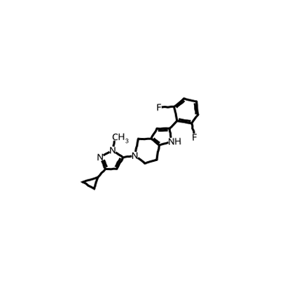 Cn1nc(C2CC2)cc1N1CCc2[nH]c(-c3c(F)cccc3F)cc2C1